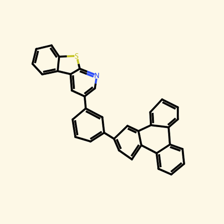 c1cc(-c2cnc3sc4ccccc4c3c2)cc(-c2ccc3c4ccccc4c4ccccc4c3c2)c1